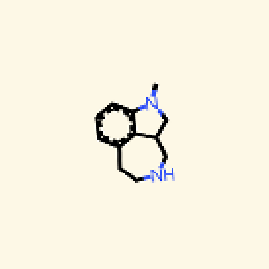 CN1CC2CNCCc3cccc1c32